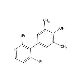 Cc1cc(-c2c(C(C)C)cccc2C(C)C)cc(C)c1O